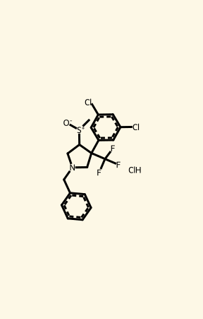 C[S+]([O-])C1CN(Cc2ccccc2)CC1(c1cc(Cl)cc(Cl)c1)C(F)(F)F.Cl